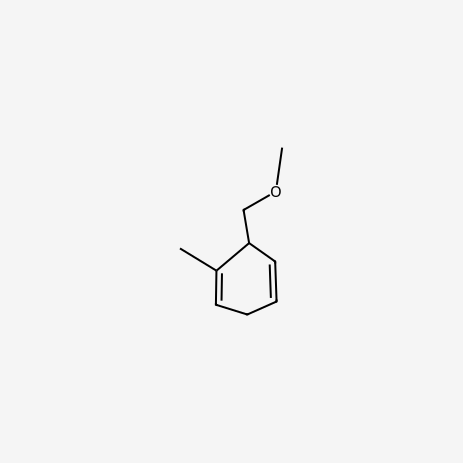 COCC1C=CCC=C1C